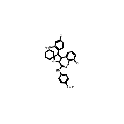 CNc1cc(Cl)ccc1C1C(c2cccc(Cl)c2F)C(C(=O)Nc2ccc(C(=O)O)cc2)NC12CCCCC2